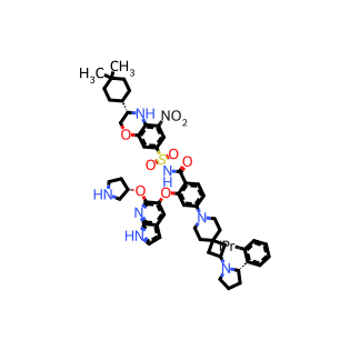 CC(C)c1ccccc1[C@@H]1CCCN1C1CC2(CCN(c3ccc(C(=O)NS(=O)(=O)c4cc5c(c([N+](=O)[O-])c4)N[C@@H](C4CCC(C)(C)CC4)CO5)c(Oc4cc5cc[nH]c5nc4O[C@H]4CCNC4)c3)CC2)C1